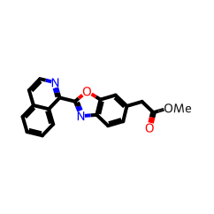 COC(=O)Cc1ccc2nc(-c3nccc4ccccc34)oc2c1